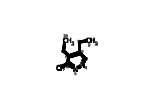 CCc1cnnc(Cl)c1CC